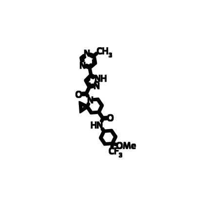 COC1(C(F)(F)F)CCC(NC(=O)C2CCN(C(=O)c3cc(-c4cc(C)ncn4)[nH]n3)C3(CC3)C2)CC1